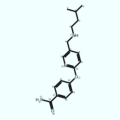 CC(C)CCNCc1ccc(Oc2ccc(C(N)=O)cc2)nc1